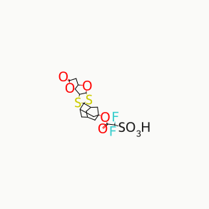 O=C1CC2OC3SC4(SC3C2O1)C1CC2CC4CC(OC(=O)C(F)(F)S(=O)(=O)O)(C2)C1